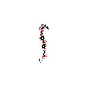 C=COC(=O)CCCOc1ccc(OC(=O)c2ccc(OCCOC(=O)C(=C)C)cc2)cc1